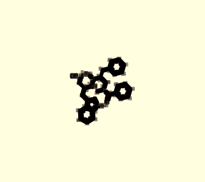 CCN(N[C@H](CC(=O)O)Cc1c[nH]c2ccccc12)[C@@H](Cc1ccccc1)CN(C)C(=O)c1ccccc1